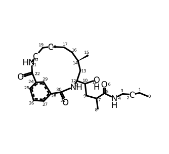 CCCCNC(=O)C(C)CC(O)C1C[C@H](C)CCCCCNC(=O)c2cccc(c2)C(=O)N1